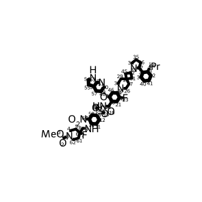 COC(=O)N1CCC(F)(CNc2ccc(S(=O)(=O)NC(=O)c3cc(F)c(N4CCC5(CC4)CC(N4CCCC4c4ccccc4C(C)C)C5)cc3Oc3cnc4[nH]ccc4c3)cc2[N+](=O)[O-])CC1